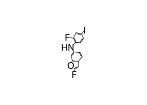 Fc1cc2ccc(Nc3ccc(I)cc3F)cc2o1